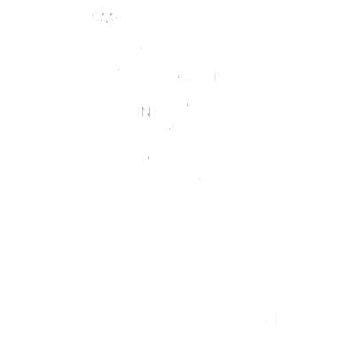 CSCC1(c2ccccc2)CC1(NS(=O)(=O)c1ccc(-c2ccc(Cl)cc2)s1)C(=O)O